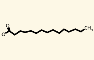 CCCCCCCCCCCCCCC([O])=O